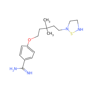 CC(C)(CCOc1ccc(C(=N)N)cc1)CCN1CCNS1